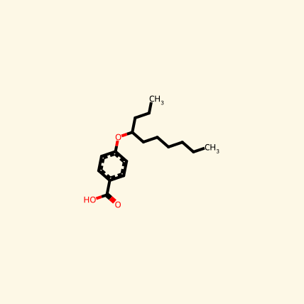 CCCCCCC(CCC)Oc1ccc(C(=O)O)cc1